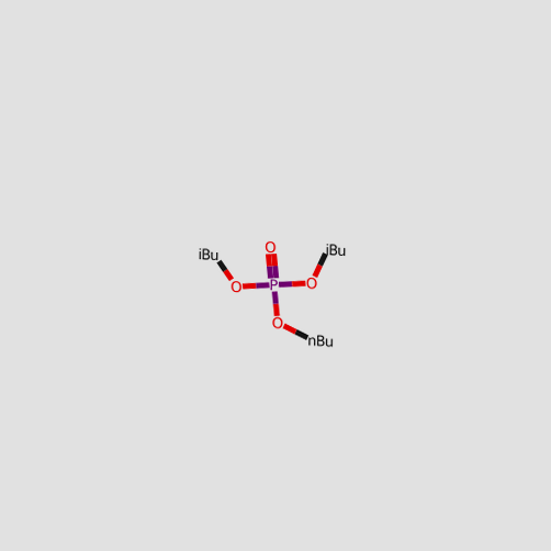 CCCCOP(=O)(OC(C)CC)OC(C)CC